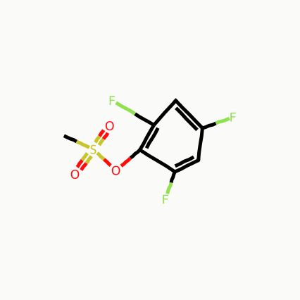 CS(=O)(=O)Oc1c(F)cc(F)cc1F